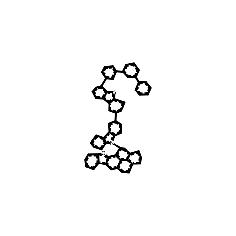 c1ccc(-c2cccc(-c3cccc(-c4cccc5c4sc4ccc(-c6ccc7c(c6)c6ccccc6n7-c6cc7cccc8ccc9cc%10c%11ccccc%11oc%10c6c9c87)cc45)c3)c2)cc1